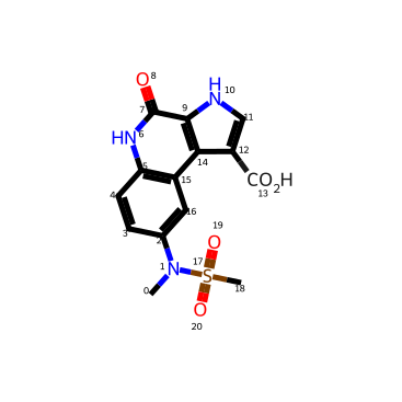 CN(c1ccc2[nH]c(=O)c3[nH]cc(C(=O)O)c3c2c1)S(C)(=O)=O